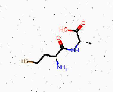 C[C@H](NC(=O)[C@@H](N)CCS)C(=O)O